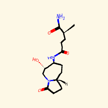 C[C@@H](C[CH]C(=O)N[C@H]1CC[C@@H]2CCC(=O)N2C[C@@H]1O)C(N)=O